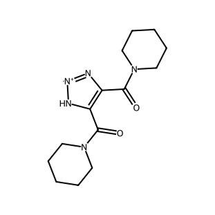 O=C(C1=C(C(=O)N2CCCCC2)N[N+]=N1)N1CCCCC1